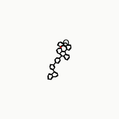 c1cc(-c2ccc(-c3c4ccccc4c(-c4cccc5oc6ccccc6c45)c4ccccc34)cc2)cc(-c2cccc3ccccc23)c1